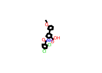 CCOc1cccc(-c2ccc(NC(=O)c3ccc(Cl)cc3Cl)c(C(=O)O)c2)c1